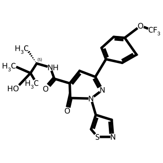 C[C@H](NC(=O)c1cc(-c2ccc(OC(F)(F)F)cc2)nn(-c2cnsc2)c1=O)C(C)(C)O